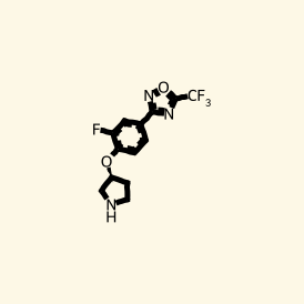 Fc1cc(-c2noc(C(F)(F)F)n2)ccc1O[C@H]1CCNC1